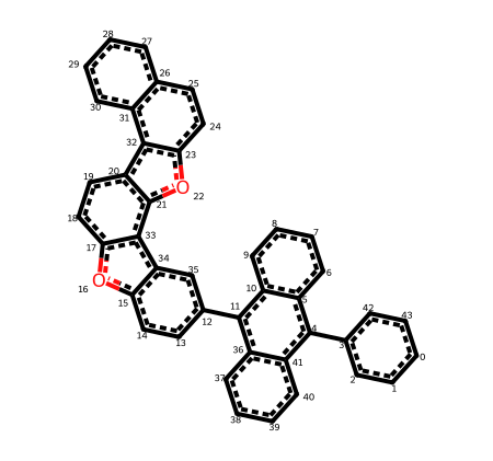 c1ccc(-c2c3ccccc3c(-c3ccc4oc5ccc6c(oc7ccc8ccccc8c76)c5c4c3)c3ccccc23)cc1